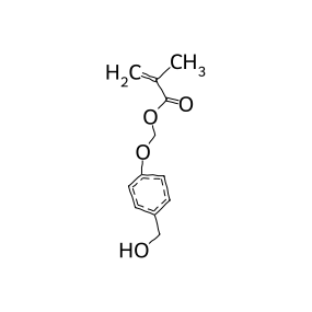 C=C(C)C(=O)OCOc1ccc(CO)cc1